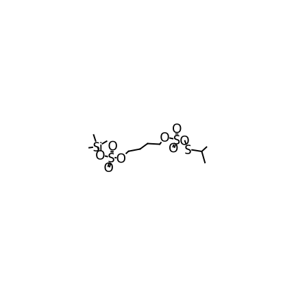 CC(C)SOS(=O)(=O)OCCCCOS(=O)(=O)O[Si](C)(C)C